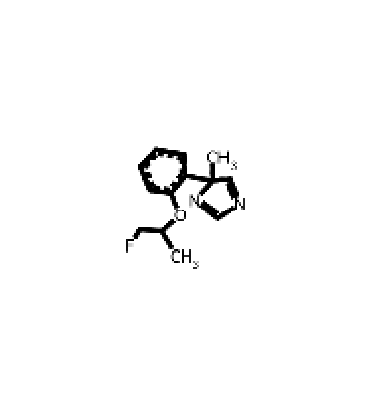 CC(CF)Oc1ccccc1C1(C)C=NC=N1